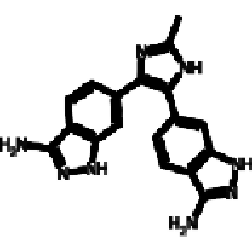 Cc1nc(-c2ccc3c(N)n[nH]c3c2)c(-c2ccc3c(N)n[nH]c3c2)[nH]1